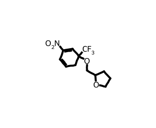 O=[N+]([O-])C1=CC(OCC2CCCO2)(C(F)(F)F)CC=C1